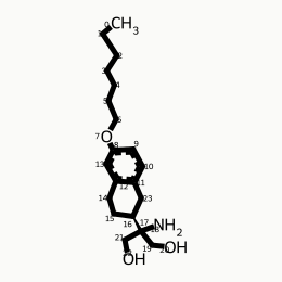 CCCCCCCOc1ccc2c(c1)CC[C@H](C(N)(CO)CO)C2